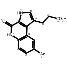 CC(=O)c1ccc2[nH]c(=O)c3[nH]cc(CCC(=O)O)c3c2c1